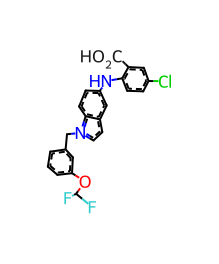 O=C(O)c1cc(Cl)ccc1Nc1ccc2c(ccn2Cc2cccc(OC(F)F)c2)c1